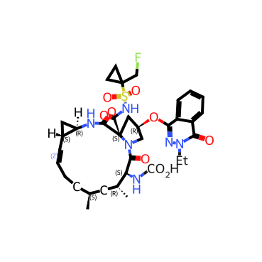 CCn1nc(O[C@H]2CN3C(=O)[C@@H](NC(=O)O)[C@H](C)C[C@@H](C)CC/C=C\[C@@H]4C[C@H]4NC(=O)[C@]3(C(=O)NS(=O)(=O)C3(CF)CC3)C2)c2ccccc2c1=O